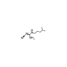 CC(C)CCCN/C(N)=N/C#N